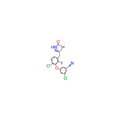 C[C@@H]1CC(Cc2ccc(Cl)c(Oc3cc(Cl)cc(C#N)c3)c2F)=NNC1=O